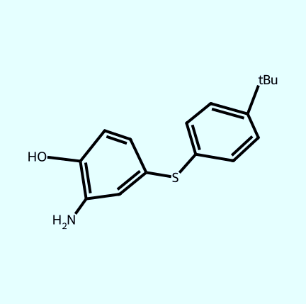 CC(C)(C)c1ccc(Sc2ccc(O)c(N)c2)cc1